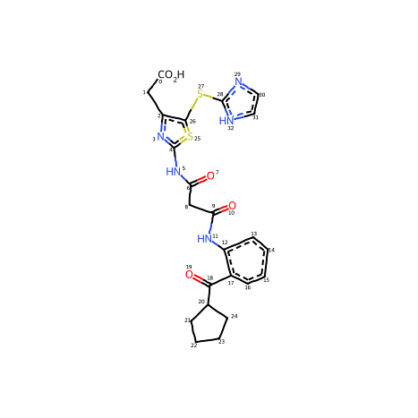 O=C(O)Cc1nc(NC(=O)CC(=O)Nc2ccccc2C(=O)C2CCCC2)sc1Sc1ncc[nH]1